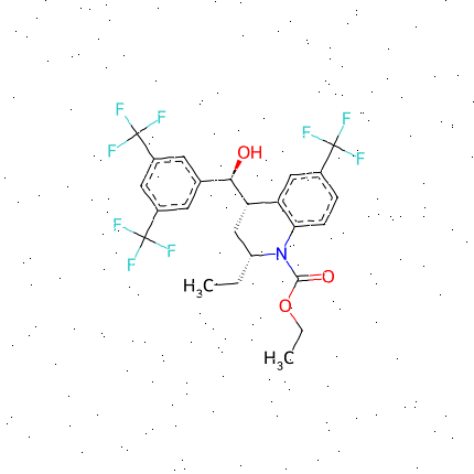 CCOC(=O)N1c2ccc(C(F)(F)F)cc2[C@@H]([C@H](O)c2cc(C(F)(F)F)cc(C(F)(F)F)c2)C[C@H]1CC